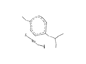 Cc1ccc(C(C)C)cc1.[I][Ru][I]